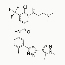 Cc1ccc(NC(=O)c2cc(NCCN(C)C)c(Cl)c(C(F)(F)F)c2)cc1-n1cc(-c2cnn(C)c2C)nn1